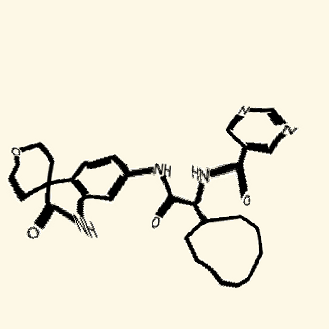 O=C(NC(C(=O)Nc1ccc2c(c1)NC(=O)C21CCOCC1)C1CCCCCCC1)c1cncnc1